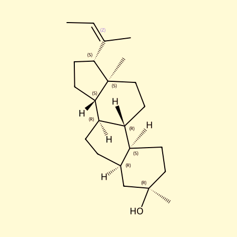 C/C=C(/C)[C@H]1CC[C@H]2[C@@H]3CC[C@@H]4C[C@](C)(O)CC[C@@H]4[C@H]3CC[C@]12C